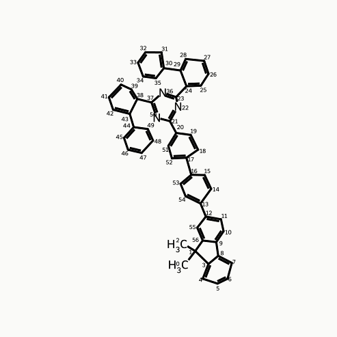 CC1(C)c2ccccc2-c2ccc(-c3ccc(-c4ccc(-c5nc(-c6ccccc6-c6ccccc6)nc(-c6ccccc6-c6ccccc6)n5)cc4)cc3)cc21